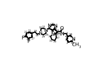 Cc1ccc(CNC(=O)c2c3n(c4c(N5CCN(CCc6ccc(F)c(F)c6)CC5)ncnc24)CCCC3)cn1